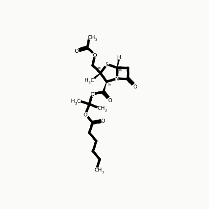 CCCCCC(=O)OC(C)(C)OC(=O)[C@@H]1N2C(=O)C[C@H]2S[C@@]1(C)COC(C)=O